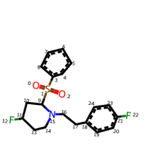 O=S(=O)(c1ccccc1)C1CC(F)CCN1CCc1ccc(F)cc1